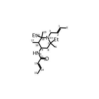 C/C=C/CN1C(C)(CC)CC(NC(=O)/C=C/C)C(C)C1(C)CC